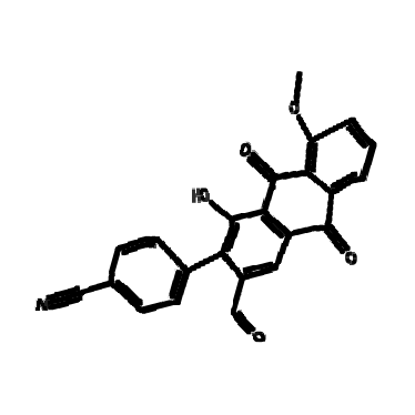 COc1cccc2c1C(=O)c1c(cc(C=O)c(-c3ccc(C#N)cc3)c1O)C2=O